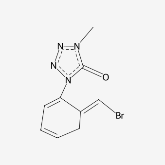 Cn1nnn(C2=CC=CCC2=CBr)c1=O